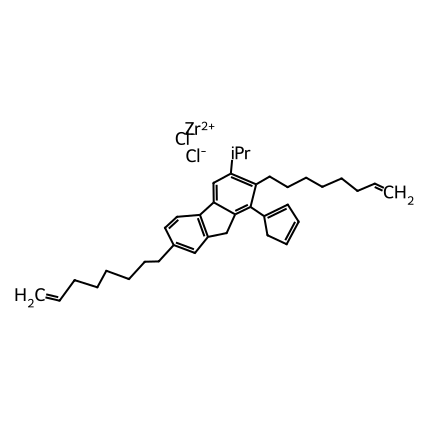 C=CCCCCCCc1ccc2c(c1)Cc1c-2cc(C(C)C)c(CCCCCCC=C)c1C1=CC=CC1.[Cl-].[Cl-].[Zr+2]